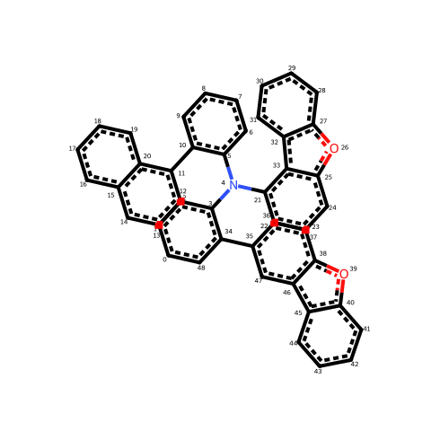 c1ccc(N(c2ccccc2-c2cccc3ccccc23)c2cccc3oc4ccccc4c23)c(-c2ccc3oc4ccccc4c3c2)c1